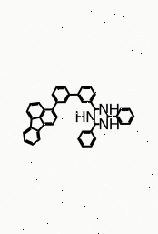 c1ccc(C2NC(c3ccccc3)NC(c3cccc(-c4cccc(-c5ccc6c7c(cccc57)-c5ccccc5-6)c4)c3)N2)cc1